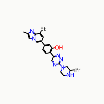 CCc1cc(-c2ccc(-c3cnc(N4CCNC(C(C)C)C4)nn3)c(O)c2)cn2cc(C)nc12